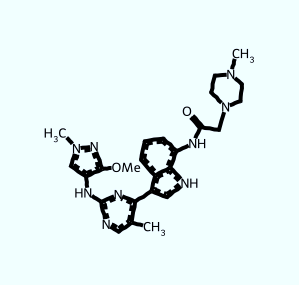 COc1nn(C)cc1Nc1ncc(C)c(-c2c[nH]c3c(NC(=O)CN4CCN(C)CC4)cccc23)n1